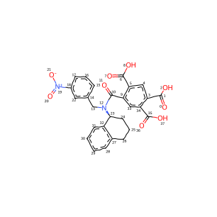 O=C(O)c1cc(C(=O)O)c(C(=O)N(Cc2cccc([N+](=O)[O-])c2)[C@H]2CCCc3ccccc32)cc1C(=O)O